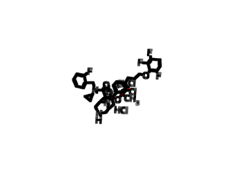 CC(C)(OC(=O)N1C2CNCC1C(C(=O)N(Cc1ccccc1F)C1CC1)=C(c1ccc(CCCOc3c(F)ccc(F)c3F)cc1)C2)C(Cl)(Cl)Cl.Cl